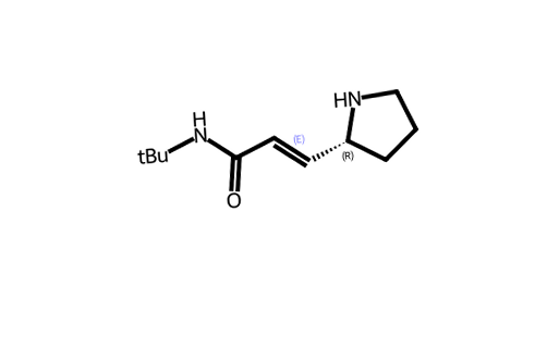 CC(C)(C)NC(=O)/C=C/[C@H]1CCCN1